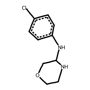 Clc1ccc(NC2COCCN2)cc1